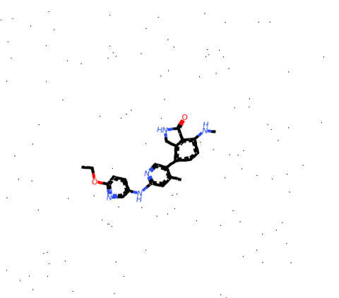 CCOc1ccc(Nc2cc(C)c(-c3ccc(NC)c4c3CNC4=O)cn2)cn1